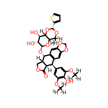 [2H]C([2H])([2H])Oc1cc([C@@H]2c3cc4c(cc3[C@@H](O[C@@H]3O[C@H]5[C@@H](O[C@H](c6cccs6)OC5([2H])[2H])[C@H](O)[C@H]3O)[C@H]3COC(=O)[C@H]23)OCO4)cc(OC([2H])([2H])[2H])c1O